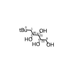 CC(C)(C)C[C@@H](O)[C@H](O)[C@@H](O)CO